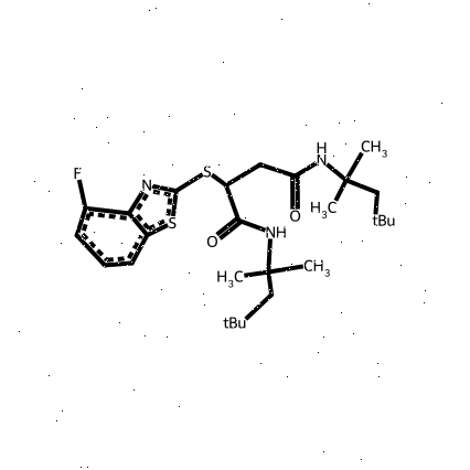 CC(C)(C)CC(C)(C)NC(=O)CC(Sc1nc2c(F)cccc2s1)C(=O)NC(C)(C)CC(C)(C)C